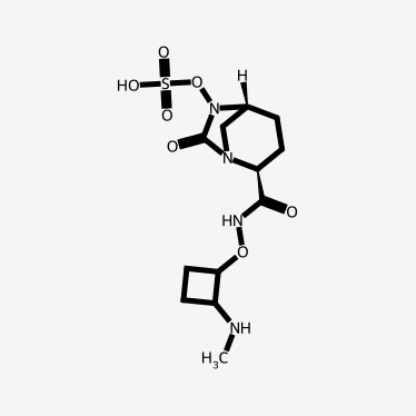 CNC1CCC1ONC(=O)[C@@H]1CC[C@@H]2CN1C(=O)N2OS(=O)(=O)O